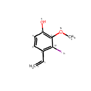 C=Cc1ccc(O)c(OC)c1I